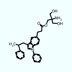 CC(Cc1cn(-c2ccccc2)c2ccc(CCC(=O)OCC(N)(CO)CO)cc12)c1ccccc1